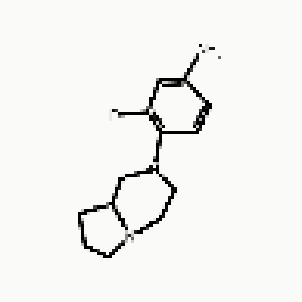 Nc1ccc(N2CCN3CCCC3C2)c(F)c1